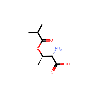 CC(C)C(=O)O[C@@H](C)[C@H](N)C(=O)O